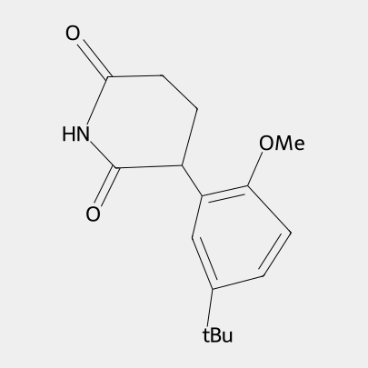 COc1ccc(C(C)(C)C)cc1C1CCC(=O)NC1=O